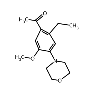 CCc1cc(N2CCOCC2)c(OC)cc1C(C)=O